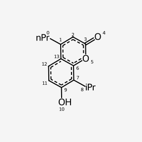 CCCc1cc(=O)oc2c(C(C)C)c(O)ccc12